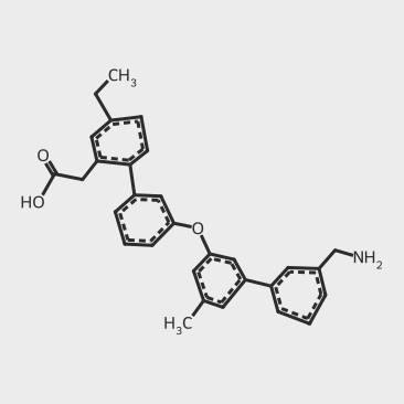 CCc1ccc(-c2cccc(Oc3cc(C)cc(-c4cccc(CN)c4)c3)c2)c(CC(=O)O)c1